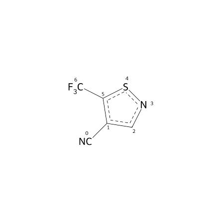 N#Cc1cnsc1C(F)(F)F